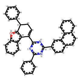 C1=C(c2nc(-c3ccccc3)nc(-c3ccc4ccc5ccccc5c4c3)n2)c2c(oc3ccccc23)C(c2ccccc2)C1